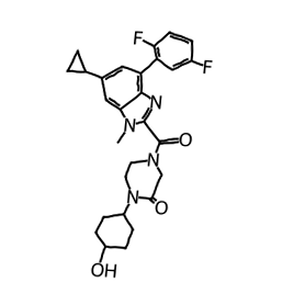 Cn1c(C(=O)N2CCN(C3CCC(O)CC3)C(=O)C2)nc2c(-c3cc(F)ccc3F)cc(C3CC3)cc21